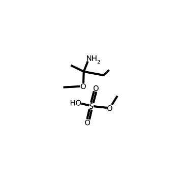 CCC(C)(N)OC.COS(=O)(=O)O